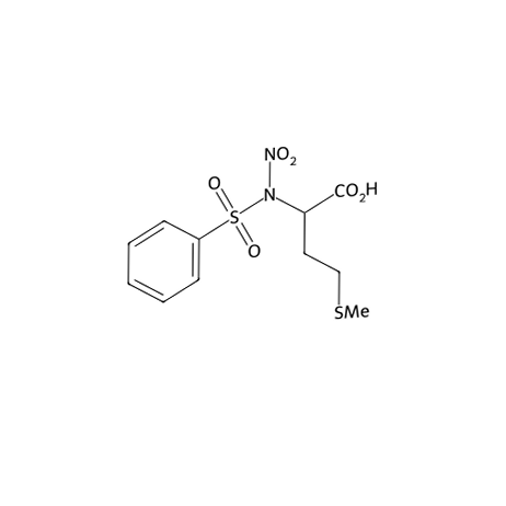 CSCCC(C(=O)O)N([N+](=O)[O-])S(=O)(=O)c1ccccc1